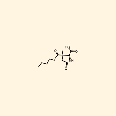 CCCCOC(=O)C(C)(CC=O)C(=N)C(=O)O